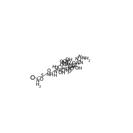 CC(C)(COP(=O)(O)OP(=O)(O)OC[C@H]1O[C@@H](n2cnc3c(N)ncnc32)[C@H](O)[C@@H]1OP(=O)(O)O)[C@@H](O)C(=O)NCCC(=O)NCCSC(=O)CC(N)c1ccccc1